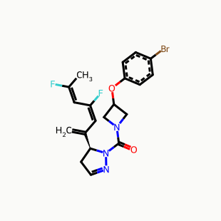 C=C(/C=C(F)\C=C(/C)F)[C@@H]1CC=NN1C(=O)N1CC(Oc2ccc(Br)cc2)C1